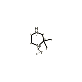 CC(C)N1CCNCC1(C)C